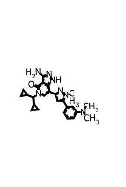 CN(C)c1cccc(-c2cc(-c3cn(C(C4CC4)C4CC4)c(=O)c4c(N)n[nH]c34)nn2C)c1